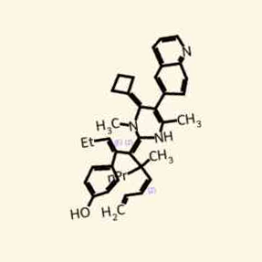 C=C/C=C\C(C)(CCC)C(=C1\NC(C)=C(c2ccc3ncccc3c2)C(=C2CCC2)N1C)/C(=C/CC)c1ccc(O)cc1